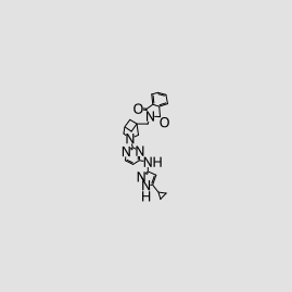 O=C1c2ccccc2C(=O)N1CC12CC(CN(c3nccc(Nc4cc(C5CC5)[nH]n4)n3)C1)C2